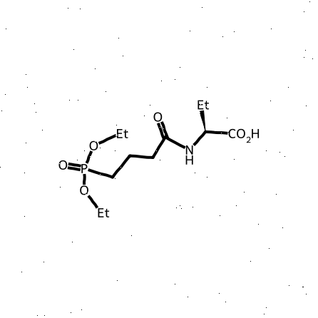 CCOP(=O)(CCCC(=O)N[C@@H](CC)C(=O)O)OCC